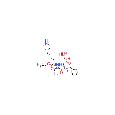 Br.Br.CCOC(=O)[C@H](CCCCC1CCNCC1)N[C@@H](C)C(=O)N(CC(=O)O)C1Cc2ccccc2C1